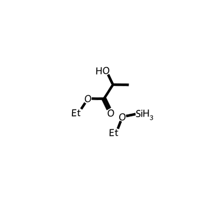 CCOC(=O)C(C)O.CCO[SiH3]